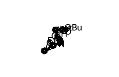 CCOc1cc(-c2cnn3ccc(C(=O)Nc4ccccc4N4CCN(C(=O)OC(C)(C)C)CC4)nc23)ccc1OCc1ccccc1